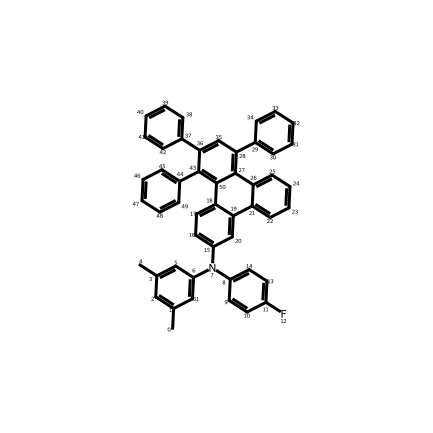 Cc1cc(C)cc(N(c2ccc(F)cc2)c2ccc3c(c2)c2ccccc2c2c(-c4ccccc4)cc(-c4ccccc4)c(-c4ccccc4)c32)c1